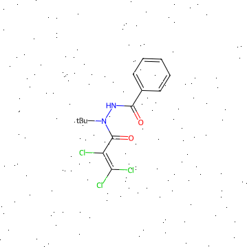 CC(C)(C)N(NC(=O)c1ccccc1)C(=O)C(Cl)=C(Cl)Cl